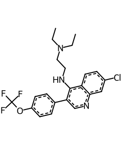 CCN(CC)CCNc1c(-c2ccc(OC(F)(F)F)cc2)cnc2cc(Cl)ccc12